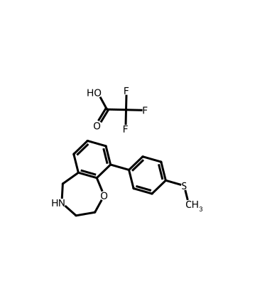 CSc1ccc(-c2cccc3c2OCCNC3)cc1.O=C(O)C(F)(F)F